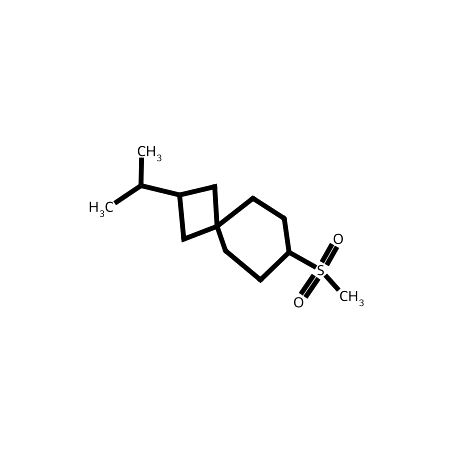 CC(C)C1CC2(CCC(S(C)(=O)=O)CC2)C1